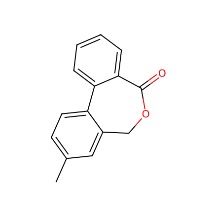 Cc1ccc2c(c1)COC(=O)c1ccccc1-2